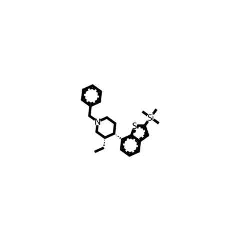 CC[C@@H]1CN(Cc2ccccc2)CC[C@@H]1c1cccc2cc([Si](C)(C)C)sc12